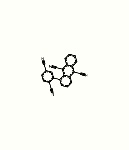 N#Cc1ccc(C#N)c(-c2cccc3c(C#N)c4ccccc4c(C#N)c23)c1